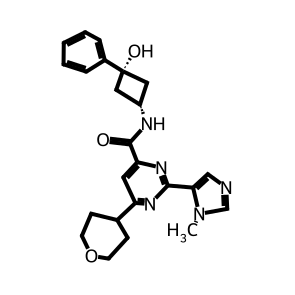 Cn1cncc1-c1nc(C(=O)N[C@H]2C[C@](O)(c3ccccc3)C2)cc(C2CCOCC2)n1